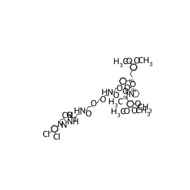 CC[C@H](C(=O)N1CCCC[C@H]1C(=O)O[C@@H](CCc1ccc(OC)c(OC)c1)c1cccc(OCC(=O)NCCOCCOCCC(=O)NCCCC(=O)NC2=NN(c3ccc(Cl)c(Cl)c3)CC2C)c1)c1cc(OC)c(OC)c(OC)c1